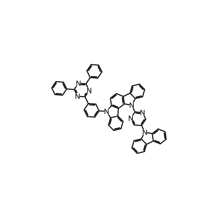 c1ccc(-c2nc(-c3ccccc3)nc(-c3cccc(-n4c5ccccc5c5c4ccc4c6ccccc6n(-c6ncc(-n7c8ccccc8c8ccccc87)cn6)c45)c3)n2)cc1